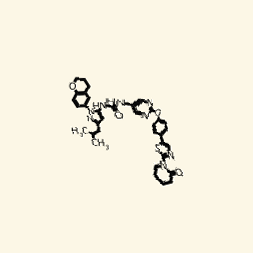 CC(C)Cc1cc(NC(=O)Nc2cnc(Oc3ccc(-c4cnc(N5CCCCC5=O)s4)cc3)nc2)n(-c2ccc3c(c2)CCCO3)n1